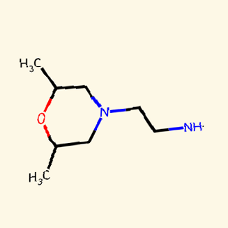 CC1CN(CC[NH])CC(C)O1